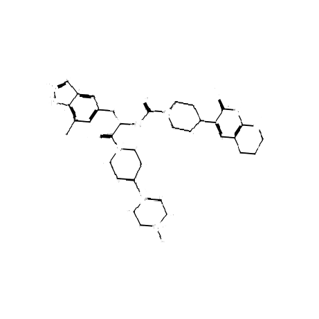 Cc1cc(C[C@@H](NC(=O)N2CCC(c3cc4c([nH]c3=O)SCCC4)CC2)C(=O)N2CCC(N3CCN(C)CC3)CC2)cc2cn[nH]c12